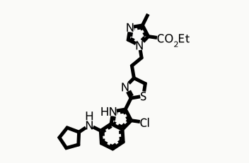 CCOC(=O)c1c(C)ncn1CCC1CSC(c2[nH]c3c(NC4CCCC4)cccc3c2Cl)=N1